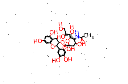 CC(=O)N[C@H]1[C@H]([C@H](O)[C@H](O)CO)O[C@](O)(C(=O)OC2Cc3c(O)cc(O)cc3OC2c2ccc(O)c(O)c2)C[C@@H]1O